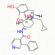 O=C(N[C@@H]1CC[C@@]2(O)[C@H]3Cc4ccc(O)c5c4[C@@]2(CCN3CC2CC2)[C@H]1O5)c1ccncc1-c1ccccc1